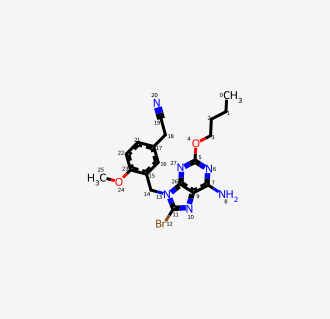 CCCCOc1nc(N)c2nc(Br)n(Cc3cc(CC#N)ccc3OC)c2n1